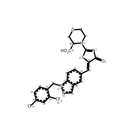 O=C1N=C(N2CCOC[C@@H]2C(=O)O)S/C1=C\c1ccc2c(cnn2Cc2ccc(Cl)cc2C(F)(F)F)c1